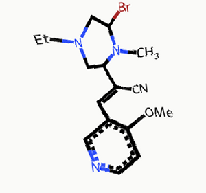 [CH2]CN1CC(Br)N(C)C(/C(C#N)=C/c2cnccc2OC)C1